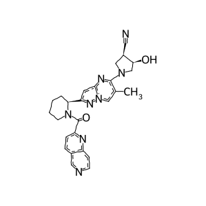 Cc1cn2nc([C@@H]3CCCCN3C(=O)c3ccc4cnccc4n3)cc2nc1N1C[C@@H](C#N)[C@@H](O)C1